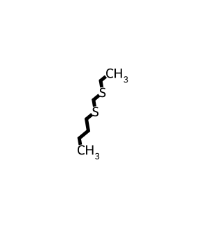 CCCCSCSCC